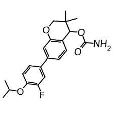 CC(C)Oc1ccc(-c2ccc3c(c2)OCC(C)(C)C3OC(N)=O)cc1F